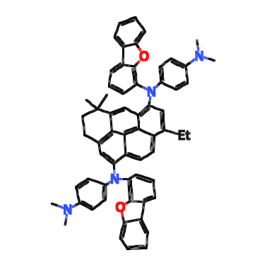 CCc1cc(N(c2ccc(N(C)C)cc2)c2cccc3c2oc2ccccc23)c2cc3c4c(cc(N(c5ccc(N(C)C)cc5)c5cccc6c5oc5ccccc56)c5ccc1c2c54)CCC3(C)C